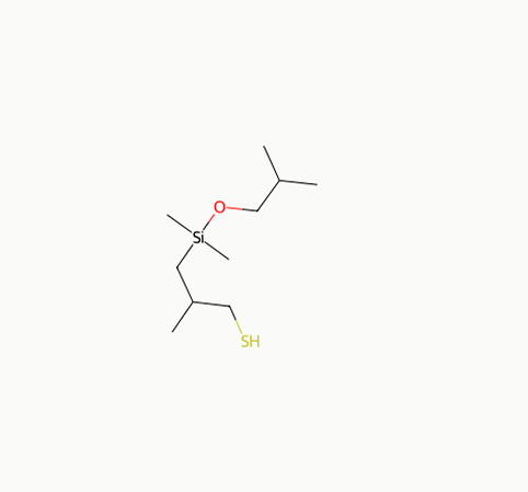 CC(C)CO[Si](C)(C)CC(C)CS